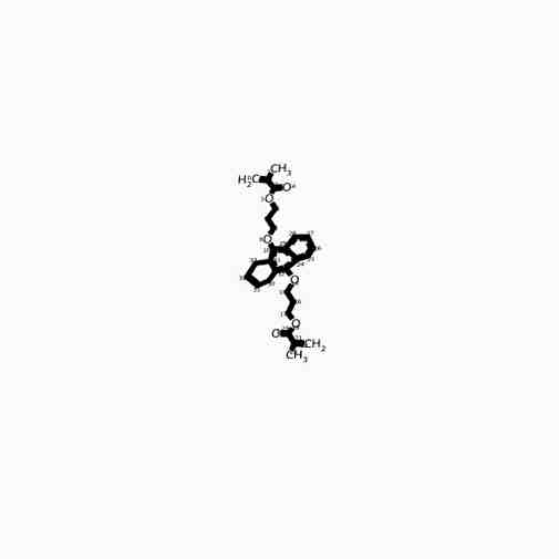 C=C(C)C(=O)OCCCOc1c2c(c(OCCCOC(=O)C(=C)C)c3ccccc13)CC=CC2